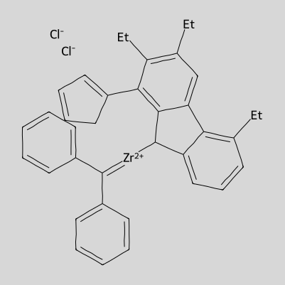 CCc1cc2c(c(C3=CC=CC3)c1CC)[CH]([Zr+2]=[C](c1ccccc1)c1ccccc1)c1cccc(CC)c1-2.[Cl-].[Cl-]